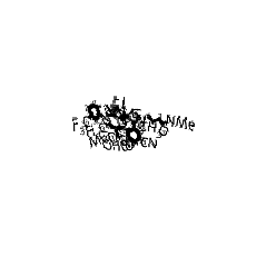 CNC(=O)CCC[N+](C)(C)Cc1cc(C#N)ccc1[C@@H]1C(C(=O)OC)=C(C)N(c2cccc(C(F)(F)F)c2)c2n[nH]c(=O)n21.O=C[O-]